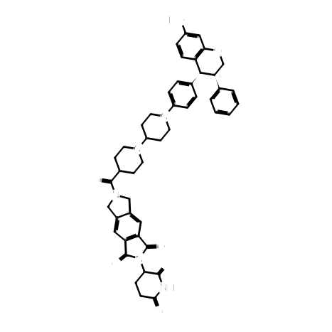 O=C1CCC(N2C(=O)c3cc4c(cc3C2=O)CN(C(=O)C2CCN(C3CCN(c5ccc([C@H]6c7ccc(O)cc7OC[C@H]6c6ccccc6)cc5)CC3)CC2)C4)C(=O)N1